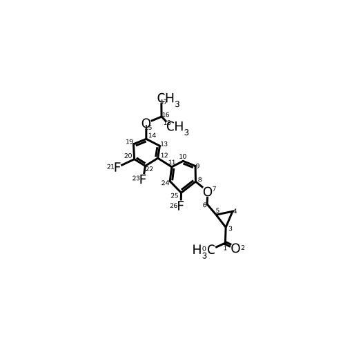 CC(=O)C1CC1COc1ccc(-c2cc(OC(C)C)cc(F)c2F)cc1F